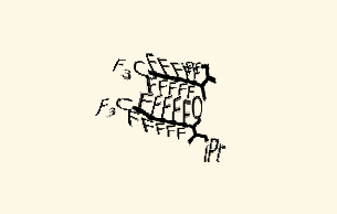 CC(C)CC(C)C(COCC(C(C)CC(C)C)C(F)(F)C(F)(F)C(F)(F)C(F)(F)C(F)(F)C(F)(F)F)C(F)(F)C(F)(F)C(F)(F)C(F)(F)C(F)(F)C(F)(F)F